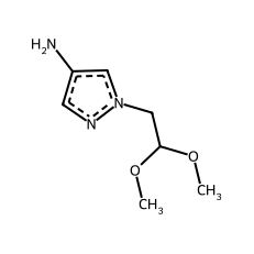 COC(Cn1cc(N)cn1)OC